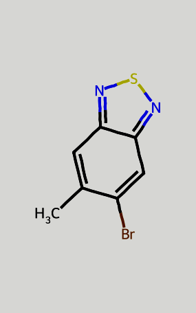 Cc1cc2nsnc2cc1Br